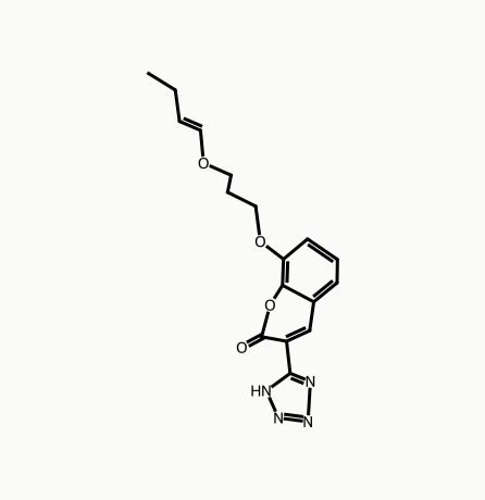 CCC=COCCCOc1cccc2cc(-c3nnn[nH]3)c(=O)oc12